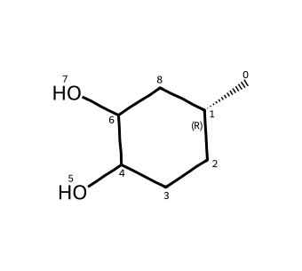 C[C@@H]1CCC(O)C(O)C1